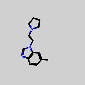 Cc1ccc2ncn(CCN3CCCC3)c2c1